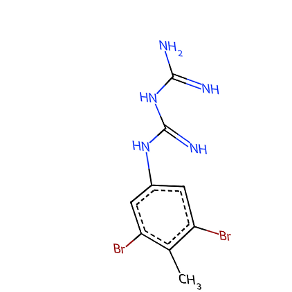 Cc1c(Br)cc(NC(=N)NC(=N)N)cc1Br